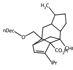 CCCCCCCCCCOCC12CC3C(C)CCC3C3(C=O)CC1C=C(C(C)C)C32C(=O)O